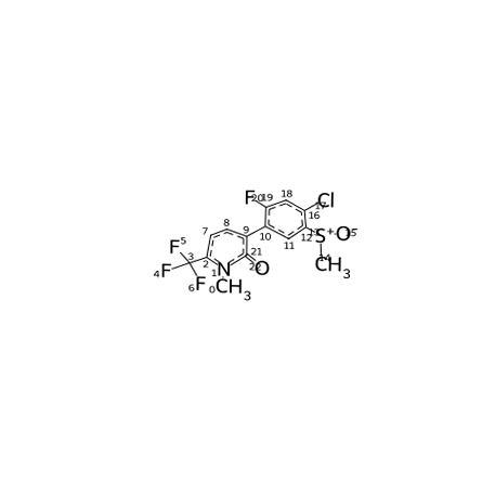 Cn1c(C(F)(F)F)ccc(-c2cc([S+](C)[O-])c(Cl)cc2F)c1=O